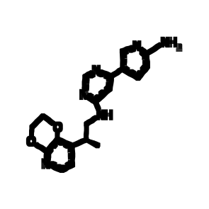 C[C@H](CNc1cc(-c2ccc(N)nc2)ncn1)c1ccnc2c1OCCO2